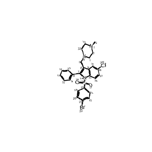 CN1CCN(Cc2c(-c3ccccc3)n(S(=O)(=O)c3ccc(Br)cc3)c3ccc(Cl)cc23)CC1